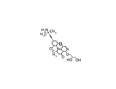 Cc1cc(=O)c2c(OCC(O)CO)ncc(Cl)c2n1-c1c(Cl)cc(C#CC(C)(C)N)cc1Cl